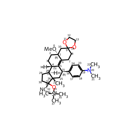 CO[C@@]12CC[C@@H]3C(=C1CCC1(C2)OCCO1)[C@@H](c1ccc(N(C)C)cc1)C[C@@]1(C)[C@H]3CC[C@@]1(C#N)O[Si](C)(C)C